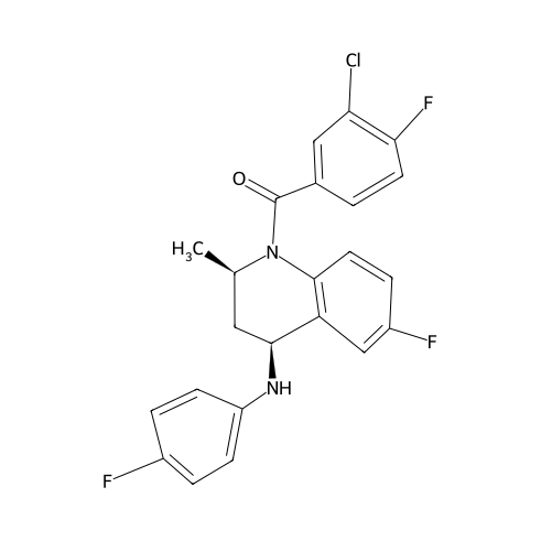 C[C@@H]1C[C@H](Nc2ccc(F)cc2)c2cc(F)ccc2N1C(=O)c1ccc(F)c(Cl)c1